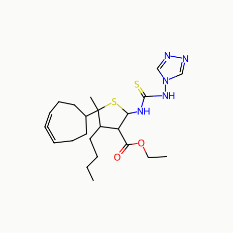 CCCCC1C(C(=O)OCC)C(NC(=S)Nn2cnnc2)SC1(C)C1CCC=C=CCC1